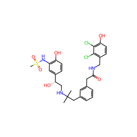 CC(C)(Cc1cccc(CC(=O)NCc2ccc(O)c(Cl)c2Cl)c1)NC[C@H](O)c1ccc(O)c(NS(C)(=O)=O)c1